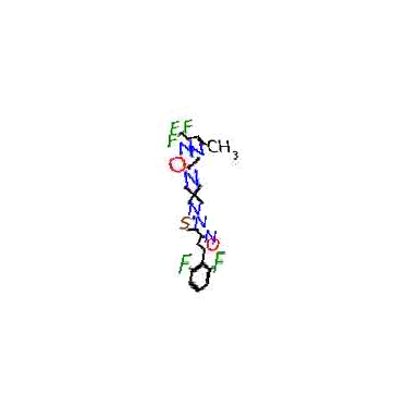 Cc1cc(C(F)(F)F)nn1CC(=O)N1CC2(C1)CN(c1nc(C3=NOC(c4c(F)cccc4F)C3)cs1)C2